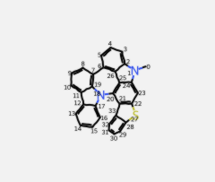 Cn1c2cccc3c4cccc5c6ccccc6n(c45)c4c5c(cc1c4c32)sc1ccccc15